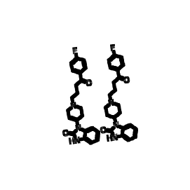 O=C(CCCN1CC=C(n2c(=O)[nH]c3ccccc32)CC1)c1ccc(F)cc1.O=C(CCCN1CCC(n2c(=O)[nH]c3ccccc32)CC1)c1ccc(F)cc1